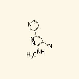 CNc1nnc(-c2cccnc2)cc1C#N